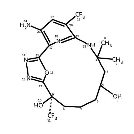 CC1(C)CC(O)CCC[C@](O)(C(F)(F)F)c2nnc(o2)-c2nc(c(C(F)(F)F)cc2N)N1